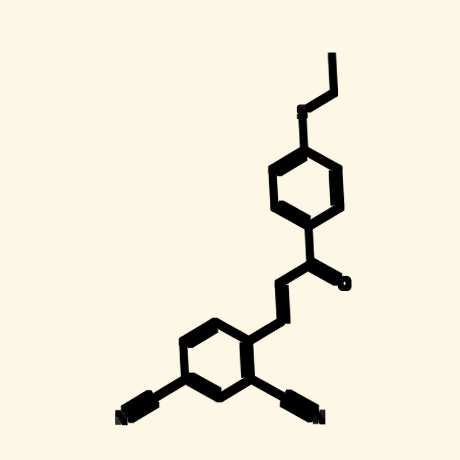 CCSc1ccc(C(=O)C=Cc2ccc(C#N)cc2C#N)cc1